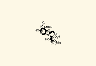 CCCCOC1C(N=[N+]=[N-])[C@@H](O)OC[C@H](I)[C@H]1OC(CO)OC(C(=O)O)[C@H](O)[C@H](C)OCCCC